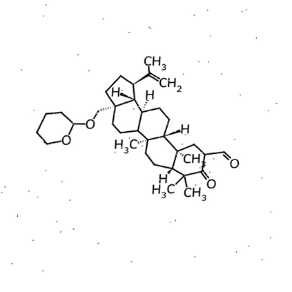 C=C(C)[C@@H]1CC[C@]2(COC3CCCCO3)CCC3[C@H](CC[C@@H]4[C@@]5(C)CC(C=O)C(=O)C(C)(C)[C@@H]5CC[C@@]34C)[C@@H]12